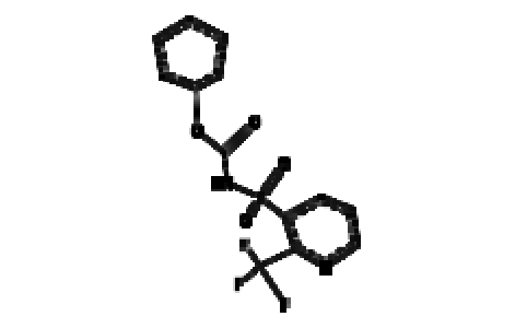 O=C(NS(=O)(=O)c1cccnc1C(F)(F)F)Oc1ccccc1